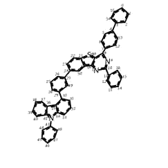 c1ccc(-c2ccc(-c3nc(-c4ccccc4)nc4c3sc3ccc(-c5cccc(-c6cccc7c6c6ccccc6n7-c6ccccc6)c5)cc34)cc2)cc1